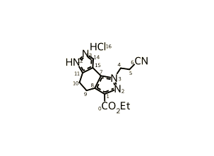 CCOC(=O)c1nn(CCC#N)c2c1CCc1[nH]ncc1-2.Cl